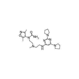 Cc1noc(C)c1N(CCN(C)CCNc1cc(N2CCCC2)nc(N2CCCC2)n1)C(N)=O